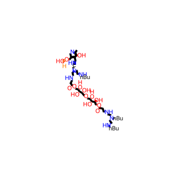 CCCCNCCN(CCCC)CCNCCC(=O)OCC(O)C(O)C(O)COCC(O)C(O)C(O)COC(=O)CCNCCN(CCNCCCC)CCNCc1c(COPO)cnc(C)c1O